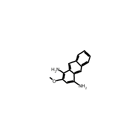 COc1cc(N)c2cc3ccccc3cc2c1N